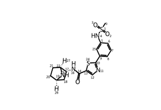 CS(=O)(=O)Nc1cccc(-c2ncc(C(=O)N[C@@H]3C[C@H]4CC[C@@H]3N4)s2)c1